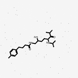 Cc1ccc(CCCC(=O)NCC(O)CCC(NC(C)C)C(=O)C(C)C)cc1